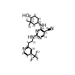 CC(F)(F)c1ccnc(CCNc2ncc(C#N)c(N[C@@H]3CC[C@H](O)C(C)(C)C3)n2)c1